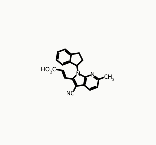 Cc1ccc2c(C#N)c(C=CC(=O)O)n(C3CCc4ccccc43)c2n1